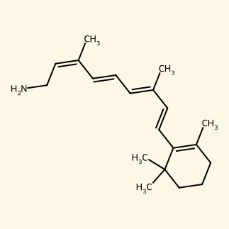 CC(C=CC1=C(C)CCCC1(C)C)=CC=C/C(C)=C\CN